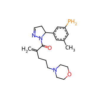 C=C(CCCN1CCOCC1)C(=O)N1N=CCC1c1cc(C)cc(P)c1